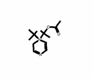 CC(=O)OC(C)(C)[N+]1(C(C)(C)C)C=CN=CC1